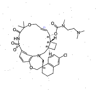 CN(C)CCN(C)C(=O)O[C@H]1/C=C/COC(C)(C)C(=O)NS(=O)(=O)c2ccc3c(c2)N(C[C@@H]2CC[C@H]21)C[C@@]1(CCCc2cc(Cl)ccc21)CO3